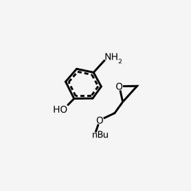 CCCCOCC1CO1.Nc1ccc(O)cc1